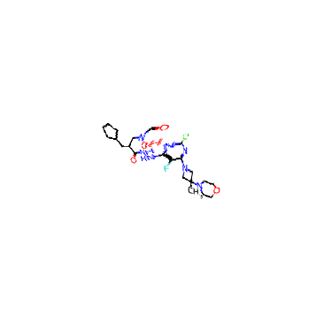 CC1(N2CCOCC2)CN(c2nc(Cl)nc(NNC(=O)[C@@H](CC3CCCC3)CN(O)C=O)c2F)C1